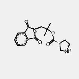 CC(C)(CN1C(=O)c2ccccc2C1=O)OC(=O)[C@@H]1CCNC1